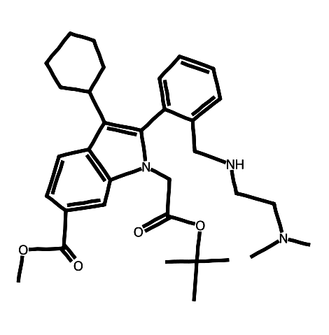 COC(=O)c1ccc2c(C3CCCCC3)c(-c3ccccc3CNCCN(C)C)n(CC(=O)OC(C)(C)C)c2c1